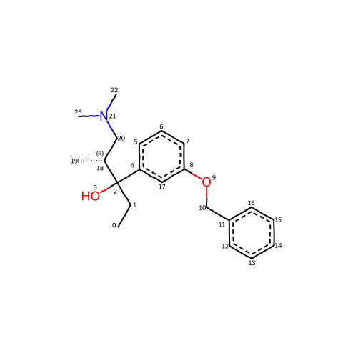 CCC(O)(c1cccc(OCc2ccccc2)c1)[C@H](C)CN(C)C